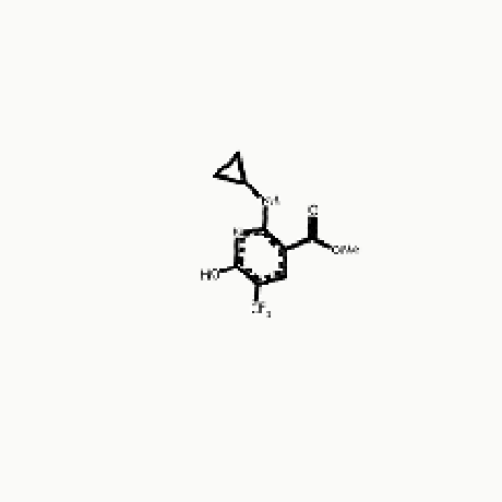 COC(=O)c1cc(C(F)(F)F)c(O)nc1NC1CC1